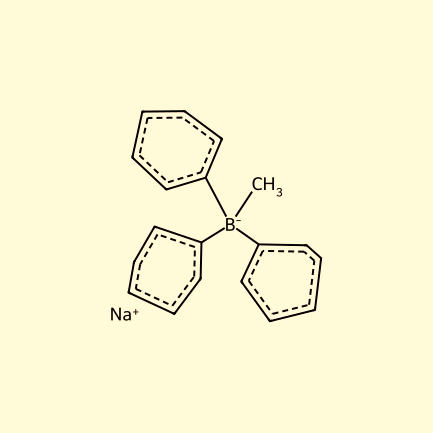 C[B-](c1ccccc1)(c1ccccc1)c1ccccc1.[Na+]